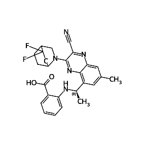 Cc1cc([C@@H](C)Nc2ccccc2C(=O)O)c2nc(N3CC4CCC3CC4(F)F)c(C#N)nc2c1